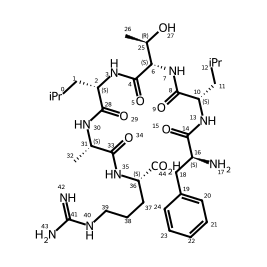 CC(C)C[C@H](NC(=O)[C@@H](NC(=O)[C@H](CC(C)C)NC(=O)[C@@H](N)Cc1ccccc1)[C@@H](C)O)C(=O)N[C@@H](C)C(=O)N[C@@H](CCCNC(=N)N)C(=O)O